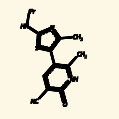 Cc1nc(NC(C)C)sc1-c1cc(C#N)c(=O)[nH]c1C